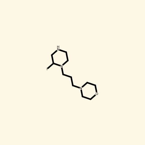 IC1CNCCN1CCCN1CCOCC1